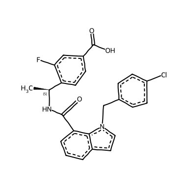 C[C@H](NC(=O)c1cccc2ccn(Cc3ccc(Cl)cc3)c12)c1ccc(C(=O)O)cc1F